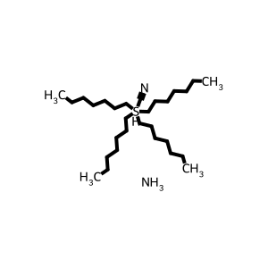 CCCCCCC[SH](C#N)(CCCCCCC)(CCCCCCC)CCCCCCC.N